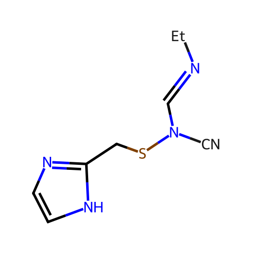 CCN=CN(C#N)SCc1ncc[nH]1